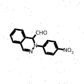 O=CC1c2ccccc2C=NN1c1ccc([N+](=O)[O-])cc1